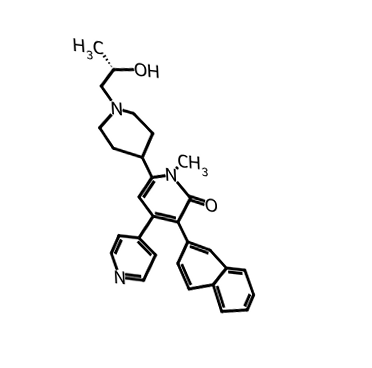 C[C@H](O)CN1CCC(c2cc(-c3ccncc3)c(-c3ccc4ccccc4c3)c(=O)n2C)CC1